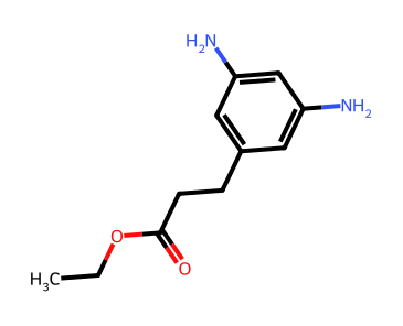 CCOC(=O)CCc1cc(N)cc(N)c1